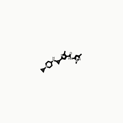 Cc1cc(NC(=O)c2cc(C3CC3NC3CCN(C4CC4)CC3)sc2C)n(C)n1